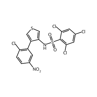 O=[N+]([O-])c1ccc(Cl)c(-c2cscc2NS(=O)(=O)c2c(Cl)cc(Cl)cc2Cl)c1